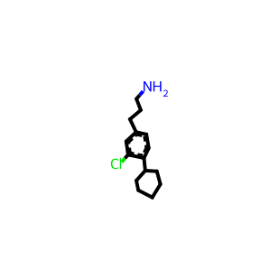 NCCCc1ccc(C2CCCCC2)c(Cl)c1